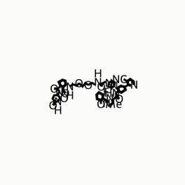 COc1cccc(F)c1-c1nccc(C(=O)Nc2ccc(-c3cnccc3C#N)cc2N2CCN(CC(=O)NCCOCCOCCNc3cccc4c3C(=O)N(C3CCC(=O)NC3=O)C4=O)CC2)n1